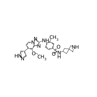 CCOc1c(-c2cn[nH]c2)ccn2nc(Nc3ccc(S(=O)(=O)NC4CC5(CNC5)C4)cc3C)nc12